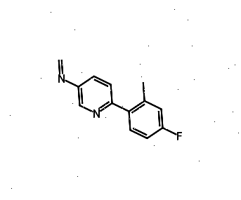 C=Nc1ccc(-c2ccc(F)cc2C)nc1